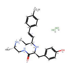 CCCC[C@H](N)CNC(=O)[C@H](Cc1ccc(O)cc1)N[C@H](/C=C/c1ccc(C(=O)O)cc1)CC(C)C.Cl.Cl